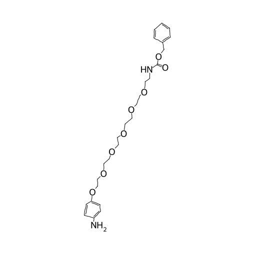 Nc1ccc(OCCOCCOCCOCCOCCOCCNC(=O)OCc2ccccc2)cc1